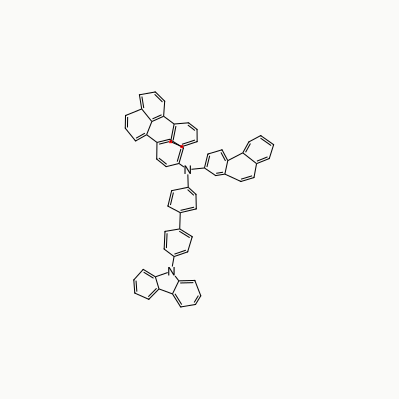 c1ccc(-c2cccc3cccc(-c4ccc(N(c5ccc(-c6ccc(-n7c8ccccc8c8ccccc87)cc6)cc5)c5ccc6c(ccc7ccccc76)c5)cc4)c23)cc1